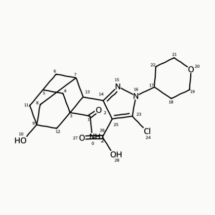 NC(=O)C12CC3CC(CC(O)(C3)C1)C2c1nn(C2CCOCC2)c(Cl)c1C(=O)O